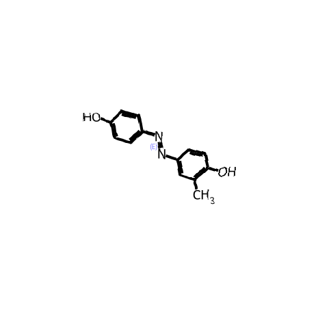 Cc1cc(/N=N/c2ccc(O)cc2)ccc1O